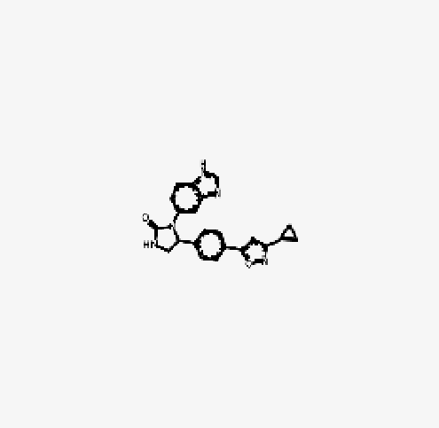 O=C1NCC(c2ccc(-c3cc(C4CC4)no3)cc2)N1c1ccc2[nH]cnc2c1